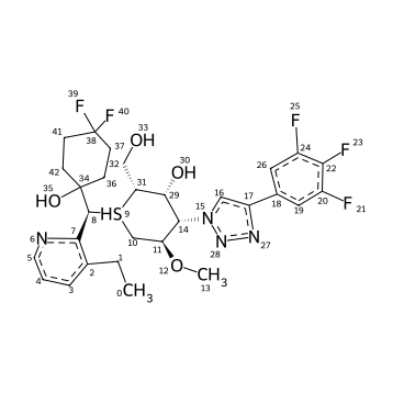 CCc1cccnc1[C@H]([SH]1C[C@H](OC)[C@@H](n2cc(-c3cc(F)c(F)c(F)c3)nn2)[C@@H](O)[C@H]1CO)C1(O)CCC(F)(F)CC1